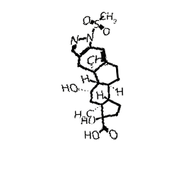 C[C@]12Cc3cnn(S(C)(=O)=O)c3C=C1CC[C@@H]1[C@@H]2[C@@H](O)C[C@@]2(C)[C@H]1CC[C@]2(O)C(=O)O